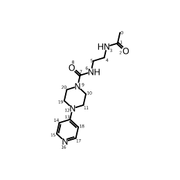 CC(=O)NCCNC(=O)N1CCN(c2ccncc2)CC1